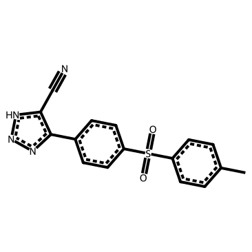 Cc1ccc(S(=O)(=O)c2ccc(-c3nn[nH]c3C#N)cc2)cc1